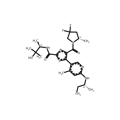 CC[C@@H](C)Nc1cc(C)c(-c2sc(C(=O)N[C@H](C)C(C)(C)O)nc2C(=O)N2CC(F)(F)C[C@@H]2C)cn1